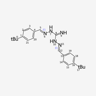 CC(C)(C)c1ccc(/C=N/NC(=N)N/N=C/c2ccc(C(C)(C)C)cc2)cc1